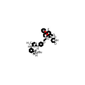 Cc1cnc(Nc2ccc(OCCN3CCC(CN4C5CC4CN(c4cc6c(cc4F)C(=O)N(C4CCC(=O)NC4=O)C6=O)C5)CC3)cc2)nc1Nc1cccc(S(=O)(=O)NC(C)(C)C)c1